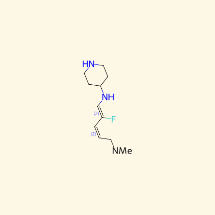 CNC/C=C\C(F)=C\NC1CCNCC1